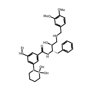 CCNc1cc(C(=O)N[C@@H](Cc2ccccc2)[C@@H](O)CNCc2ccc(OC)c(OC)c2)cc(N2CCCCS2(O)O)c1